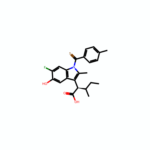 CCC(C)[C@@H](C(=O)O)c1c(C)n(C(=S)c2ccc(C)cc2)c2cc(F)c(O)cc12